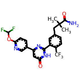 CC(C)(Cc1ccc(C(F)(F)F)c(-c2nc(-c3ccc(OC(F)F)nc3)cc(=O)[nH]2)c1)C(N)=O